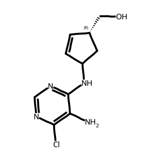 Nc1c(Cl)ncnc1NC1C=C[C@H](CO)C1